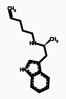 C=CCCCN[C@H](C)Cc1c[nH]c2ccccc12